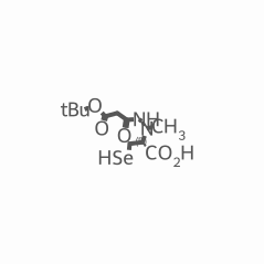 CN(NC(=O)CC(=O)OC(C)(C)C)[C@@H](C[SeH])C(=O)O